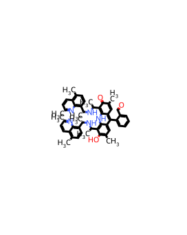 Cc1ccc2c(C)ccc(C(C)NC(C)c3c4[nH]c5c(C(C)NC(C)c6ccc(C)c7ccc(C)nc67)c(O)c(C)cc5c(-c5ccccc5C=O)c-4cc(C)c3=O)c2n1